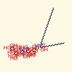 CCCCCCCCCCCCC/C=C/[C@@H](O)[C@H](CO[C@@H]1OC(CO)[C@@H](O[C@@H]2OC(CO)[C@H](O[C@@H]3OC(CO)[C@H](O)[C@H](O[C@@H]4OC(CO)[C@H](O)[C@H](O)C4O[C@H]4OC(C)[C@@H](O)C(O)[C@@H]4O)C3NC(C)=O)[C@H](O)C2O)[C@H](O)C1O)NC(=O)CCCCCCCCCCCCCCCCCCCCCCCCC